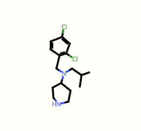 CC(C)CN(Cc1ccc(Cl)cc1Cl)C1CCNCC1